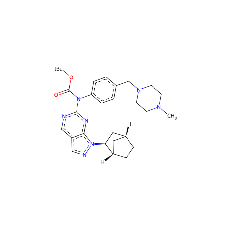 CN1CCN(Cc2ccc(N(C(=O)OC(C)(C)C)c3ncc4cnn([C@H]5C[C@@H]6CC[C@H]5C6)c4n3)cc2)CC1